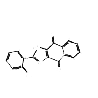 O=C1c2ccccc2C(=O)c2sc(-c3ccccc3F)nc21